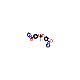 O=C(c1ccc(OBOc2ccc(C(=O)N3CCCC3)cc2)cc1)N1CCCC1